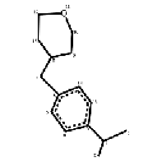 CC(C)c1ccc(CC2CCOCC2)cc1